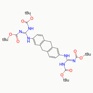 CC(C)(C)OC(=O)/N=C(/NC(=O)OC(C)(C)C)Nc1ccc2c(c1)Cc1ccc(N/C(=N\C(=O)OC(C)(C)C)NC(=O)OC(C)(C)C)cc1C2